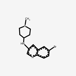 CN1CCC(Nc2cnc3ccc(Br)cc3c2)CC1